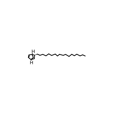 CCCCCCCCCCCCCCCCCC[C@H]1C[C@@H]2C=C[C@H]1C2